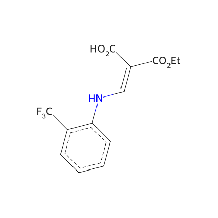 CCOC(=O)C(=CNc1ccccc1C(F)(F)F)C(=O)O